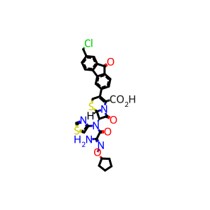 N/C(=N\OC1CCCC1)C(=O)N(c1cscn1)[C@@H]1C(=O)N2C(C(=O)O)=C(c3ccc4c(c3)-c3ccc(CCl)cc3C4=O)CS[C@@H]12